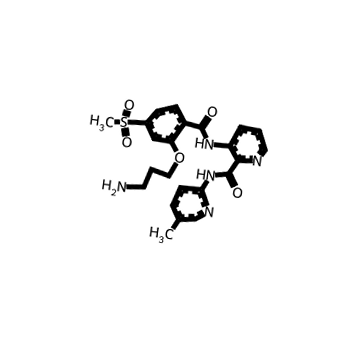 Cc1ccc(NC(=O)c2ncccc2NC(=O)c2ccc(S(C)(=O)=O)cc2OCCCN)nc1